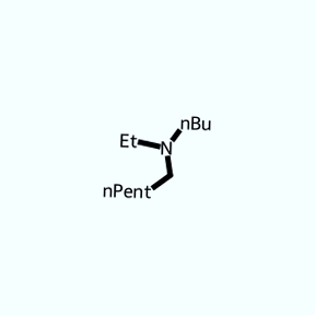 [CH2]CCCN(CC)CCCCCC